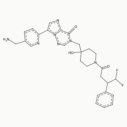 NCc1ccc(-c2cnc3c(=O)n(CC4(O)CCN(C(=O)CC(c5ccccc5)C(F)F)CC4)cnn23)nc1